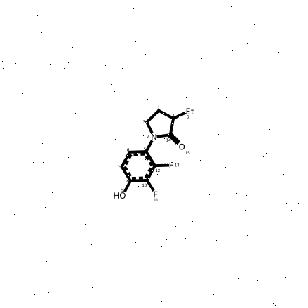 CCC1CCN(c2ccc(O)c(F)c2F)C1=O